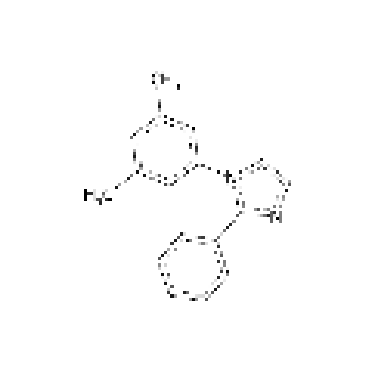 Cc1cc(C)cc(-n2ccnc2-c2ccccc2)c1